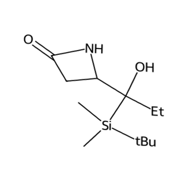 CCC(O)(C1CC(=O)N1)[Si](C)(C)C(C)(C)C